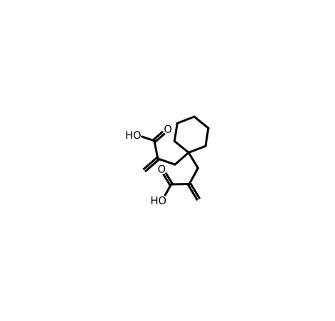 C=C(CC1(CC(=C)C(=O)O)CCCCC1)C(=O)O